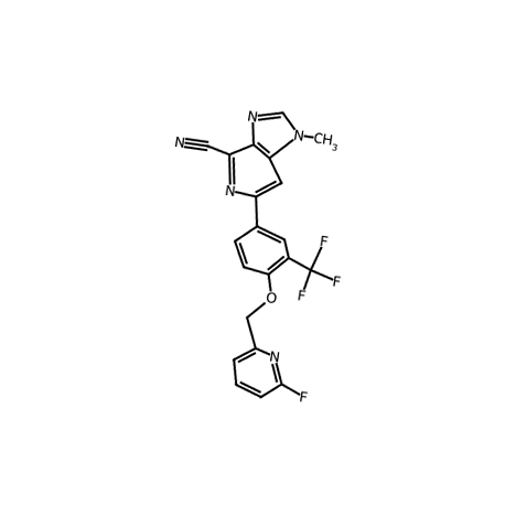 Cn1cnc2c(C#N)nc(-c3ccc(OCc4cccc(F)n4)c(C(F)(F)F)c3)cc21